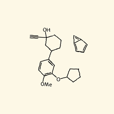 C#CC1(O)CCCC(c2ccc(OC)c(OC3CCCC3)c2)C1.c1cc2cc-2c1